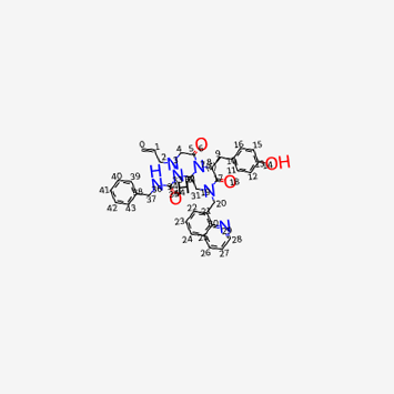 C=CCN1CC(=O)N2[C@@H](Cc3ccc(O)cc3)C(=O)N(Cc3cccc4cccnc34)C[C@@H]2N1C(=O)NCc1ccccc1